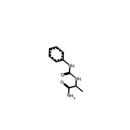 CC(NC(=O)Nc1ccccc1)C(N)=O